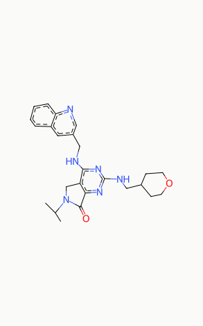 CC(C)N1Cc2c(NCc3cnc4ccccc4c3)nc(NCC3CCOCC3)nc2C1=O